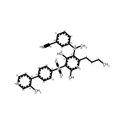 CCCCc1nc(O)c(S(=O)(=O)c2ccc(-c3ccncc3C)cc2)c(O)c1N(C)c1cccc(C#N)c1